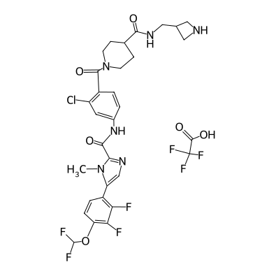 Cn1c(-c2ccc(OC(F)F)c(F)c2F)cnc1C(=O)Nc1ccc(C(=O)N2CCC(C(=O)NCC3CNC3)CC2)c(Cl)c1.O=C(O)C(F)(F)F